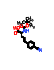 CC(C)(C)OC(=O)N[C@@H](C/C=C/c1ccc(C#N)cc1)C(=O)O